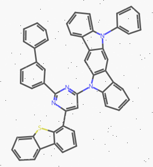 c1ccc(-c2cccc(-c3nc(-c4cccc5c4sc4ccccc45)cc(-n4c5ccccc5c5cc6c(cc54)c4ccccc4n6-c4ccccc4)n3)c2)cc1